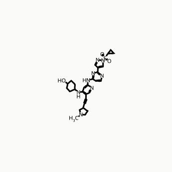 CN1CCC(C#Cc2cnc(Nc3ccnc(-c4cnn(S(=O)(=O)C5CC5)c4)n3)cc2NC2CCC(O)CC2)C1